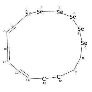 C1=C\[Se][Se][Se][Se][Se][Se]CCCC/C=C/C=C/1